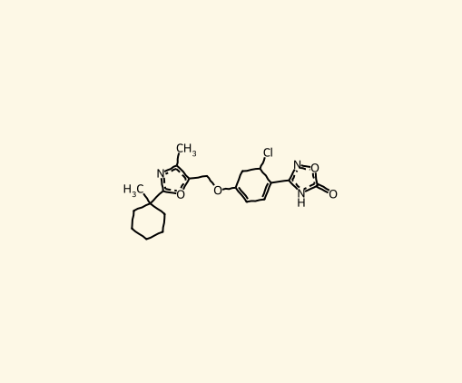 Cc1nc(C2(C)CCCCC2)oc1COC1=CC=C(c2noc(=O)[nH]2)C(Cl)C1